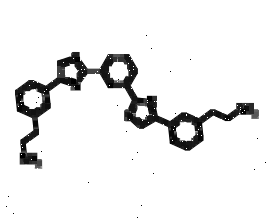 NCCc1cccc(-c2csc(-c3cccc(-c4nc(-c5cccc(CCN)c5)cs4)c3)n2)c1